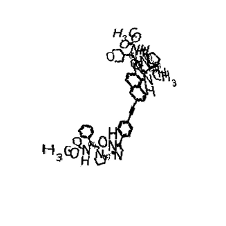 COC(=O)N[C@H](C(=O)N1[C@@H]2CC[C@@H](C2)[C@@]1(C)c1nc2ccc3cc(C#Cc4ccc(-c5cnc([C@@H]6CCCN6C(=O)[C@H](NC(=O)OC)c6ccccc6)[nH]5)cc4)ccc3c2[nH]1)C1CCOCC1